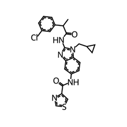 CC(C(=O)Nc1nc2cc(NC(=O)c3cscn3)ccc2n1CC1CC1)c1cccc(Cl)c1